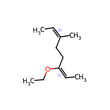 C/C=C(/C)CC/C(=C\C)OCC